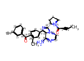 CC#CC(=O)N1CCC[C@H]1c1nc(-c2ccc(C(=O)c3cccc(C(C)(C)C)c3)c(C)c2)c2c(N)nccn12